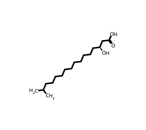 CC(C)CCCCCCCCCCC[C@H](O)CC(=O)O